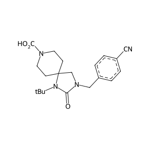 CC(C)(C)N1C(=O)N(Cc2ccc(C#N)cc2)CC12CCN(C(=O)O)CC2